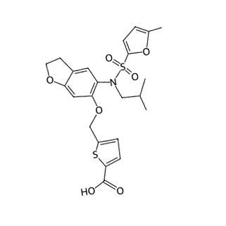 Cc1ccc(S(=O)(=O)N(CC(C)C)c2cc3c(cc2OCc2ccc(C(=O)O)s2)OCC3)o1